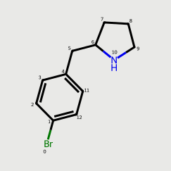 Brc1ccc(CC2CCCN2)cc1